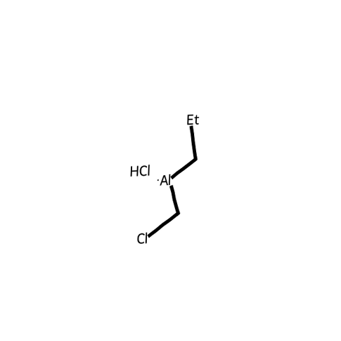 CC[CH2][Al][CH2]Cl.Cl